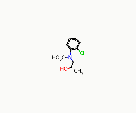 C[C@H](O)CN(C(=O)O)c1ccccc1Cl